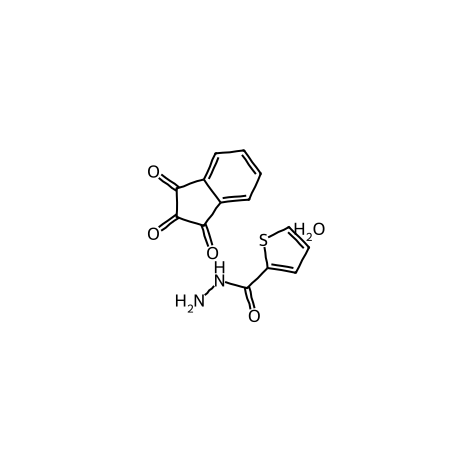 NNC(=O)c1cccs1.O.O=c1c(=O)c2ccccc2c1=O